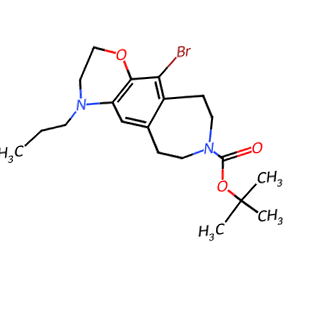 CCCN1CCOc2c1cc1c(c2Br)CCN(C(=O)OC(C)(C)C)CC1